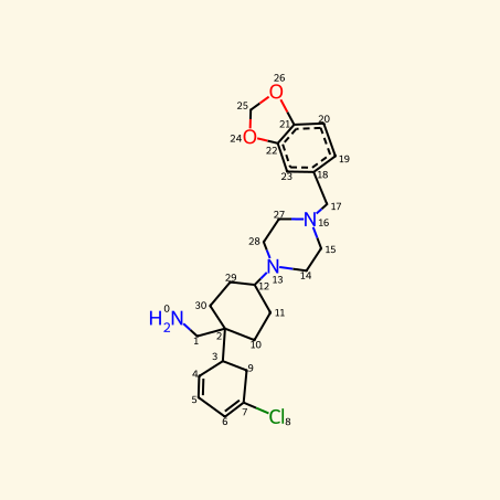 NCC1(C2C=CC=C(Cl)C2)CCC(N2CCN(Cc3ccc4c(c3)OCO4)CC2)CC1